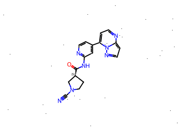 N#CN1CC[C@H](C(=O)Nc2cc(-c3ccnc4ccnn34)ccn2)C1